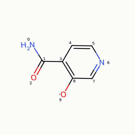 NC(=O)c1ccncc1[O]